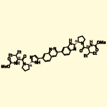 CCC(CC)[C@H](NC(=O)OC)C(=O)N1CCC[C@H]1c1ncc(-c2ccc3cc(-c4ccc5nc([C@@H]6CCCN6C(=O)[C@@H](NC(=O)OC)C(CC)CC)[nH]c5c4)nnc3c2)[nH]1